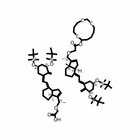 C=C1C(=CC=C2CCC[C@]3(C)C([C@H](C)OCC(=O)O)=CCC23)C[C@@H](O[Si](C)(C)C(C)(C)C)C[C@@H]1O[Si](C)(C)C(C)(C)C.C=C1C(=CC=C2CCC[C@]3(C)C([C@H](C)OCC(=O)OC4CCCCCCCCCCC4)=CC[C@@H]23)C[C@@H](O[Si](C)(C)C(C)(C)C)C[C@@H]1O[Si](C)(C)C(C)(C)C